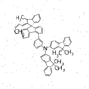 C=C1/C(=C\C=C/C)C2(c3ccccc31)c1ccccc1-c1c(-c3cccc(N(c4ccc5c(c4)C(C)(C)c4ccccc4-5)c4ccc5c(c4)C(C)(C)c4ccccc4-5)c3)cccc12